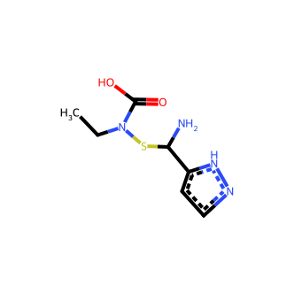 CCN(SC(N)c1ccn[nH]1)C(=O)O